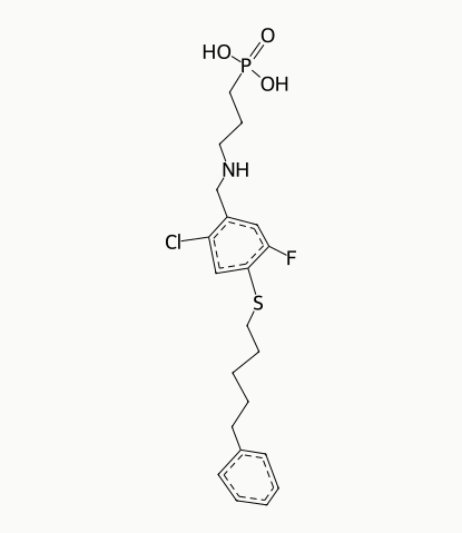 O=P(O)(O)CCCNCc1cc(F)c(SCCCCCc2ccccc2)cc1Cl